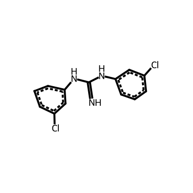 N=C(Nc1cccc(Cl)c1)Nc1cccc(Cl)c1